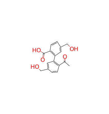 CC(=O)c1ccc(CO)cc1-c1cc(CO)ccc1C(=O)O